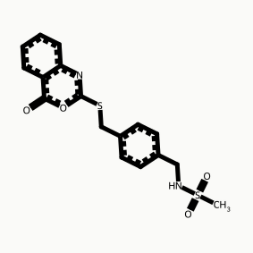 CS(=O)(=O)NCc1ccc(CSc2nc3ccccc3c(=O)o2)cc1